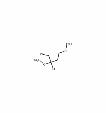 CCC(CO)(CCOC(=O)O)OC(=O)O